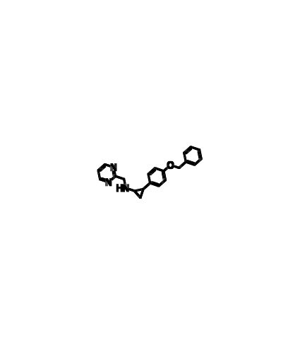 c1ccc(COc2ccc(C3CC3NCc3ncccn3)cc2)cc1